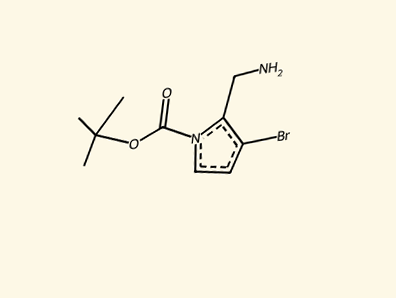 CC(C)(C)OC(=O)n1ccc(Br)c1CN